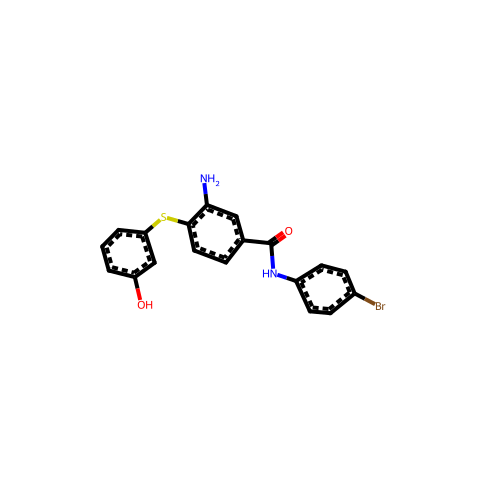 Nc1cc(C(=O)Nc2ccc(Br)cc2)ccc1Sc1cccc(O)c1